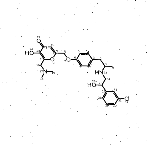 CC(Cc1ccc(OCc2cc(=O)c(O)c(CN(C)C)o2)cc1)NCC(O)c1cccc(Cl)c1